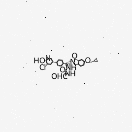 O=CNC(=O)N[C@@H](CN1Cc2ccc(OCC3CC3)cc2C1=O)c1ccc(-c2cnc(O)c(Cl)c2)cc1